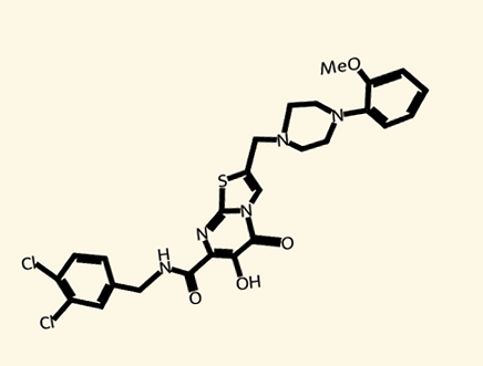 COc1ccccc1N1CCN(Cc2cn3c(=O)c(O)c(C(=O)NCc4ccc(Cl)c(Cl)c4)nc3s2)CC1